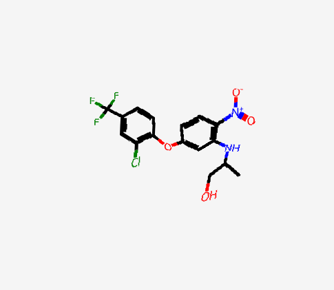 CC(CO)Nc1cc(Oc2ccc(C(F)(F)F)cc2Cl)ccc1[N+](=O)[O-]